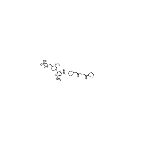 C[C@H]1CN(c2nc(N)nc(NC[C@H]3CC[C@H](CNCCCNC4CCCCC4)CC3)n2)CCN1CCCP(=O)(O)O